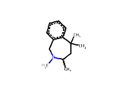 CC1CC(C)(C)c2ccccc2CN1C